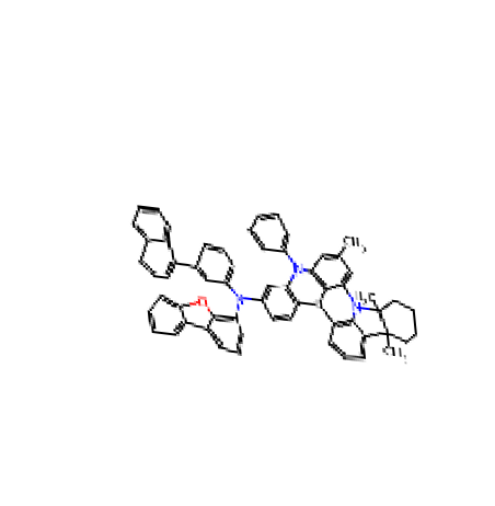 Cc1cc2c3c(c1)N1c4c(cccc4C4(C)CCCCC14C)B3c1ccc(N(c3cccc(-c4cccc5ccccc45)c3)c3cccc4c3oc3ccccc34)cc1N2c1ccccc1